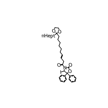 CCCCCCCC1(CCCCCC/C=C/CC(=O)N2C(=O)OC(c3ccccc3)(c3ccccc3)C2I)OCCO1